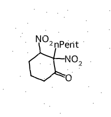 CCCCCC1([N+](=O)[O-])C(=O)CCCC1[N+](=O)[O-]